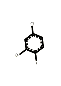 Clc1ccc(I)c(Br)c1